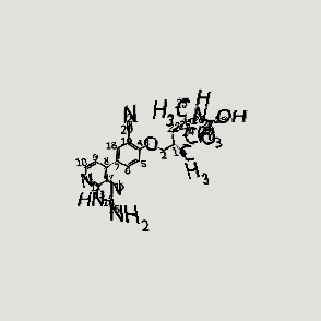 C[C@H](COc1ccc(-c2ccnc3[nH]c(N)nc23)cc1C#N)CC(C)(C)NC(=O)O